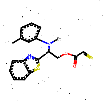 CCN(c1cccc(C)c1)C(COC(=O)C=S)c1nc2ccccc2s1